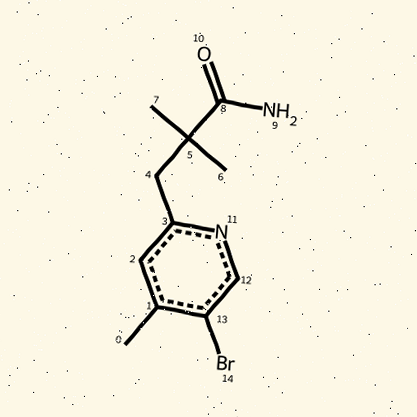 Cc1cc(CC(C)(C)C(N)=O)ncc1Br